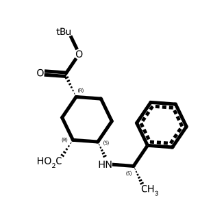 C[C@H](N[C@H]1CC[C@@H](C(=O)OC(C)(C)C)C[C@H]1C(=O)O)c1ccccc1